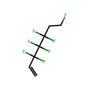 C=CC(F)(F)C(F)(F)C(F)(F)CCF